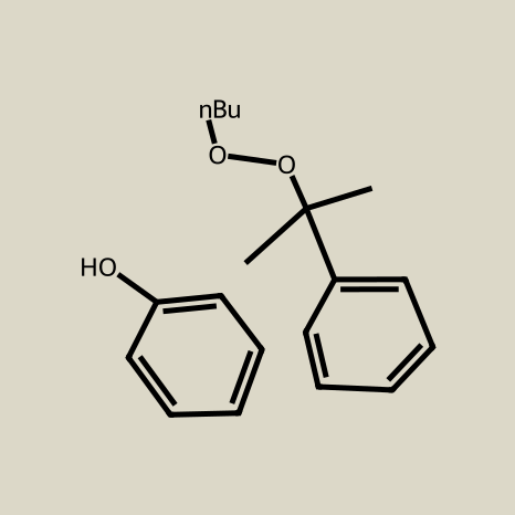 CCCCOOC(C)(C)c1ccccc1.Oc1ccccc1